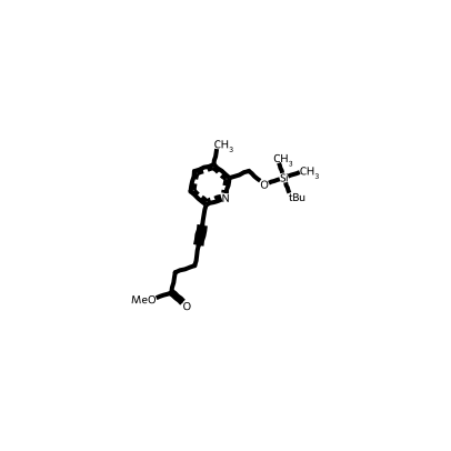 COC(=O)CCC#Cc1ccc(C)c(CO[Si](C)(C)C(C)(C)C)n1